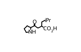 CC(C)CC(CC(=O)C1CCCN1)C(=O)O